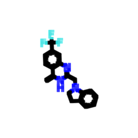 C=C1NC(CN2CCc3ccccc32)=Nc2cc(C(F)(F)F)ccc21